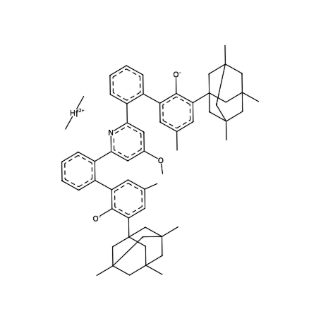 COc1cc(-c2ccccc2-c2cc(C)cc(C34CC5(C)CC(C)(CC(C)(C5)C3)C4)c2[O-])nc(-c2ccccc2-c2cc(C)cc(C34CC5(C)CC(C)(CC(C)(C5)C3)C4)c2[O-])c1.[CH3][Hf+2][CH3]